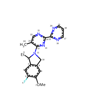 CCC1c2cc(F)c(OC)cc2CN1c1nc(-c2ncccn2)ncc1C